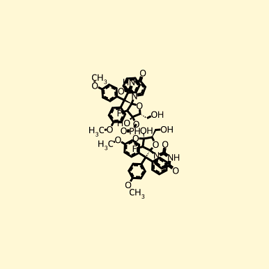 COc1ccc(C(c2ccccc2)(c2ccc(OC)cc2)[C@@]2(n3ccc(=O)[nH]c3=O)O[C@H](CO)[C@](O)(O[PH](=O)O[C@]3(O)C(F)[C@@](n4ccc(=O)[nH]c4=O)(C(c4ccccc4)(c4ccc(OC)cc4)c4ccc(OC)cc4)O[C@@H]3CO)C2F)cc1